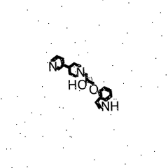 O[C@H](COc1cccc2[nH]ccc12)CN1CCC(c2cccnc2)CC1